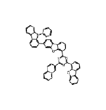 c1ccc(-n2c3ccccc3c3cccc(-c4ccc5c(c4)oc4c(-c6nc(-c7ccc8ccccc8c7)nc(-c7cccc8c7oc7ccccc78)n6)cccc45)c32)cc1